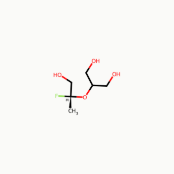 C[C@@](F)(CO)OC(CO)CO